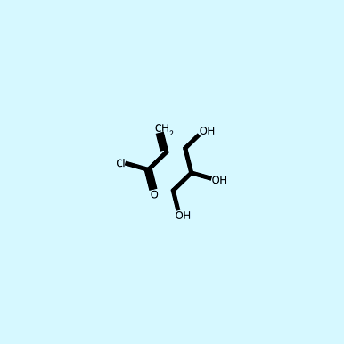 C=CC(=O)Cl.OCC(O)CO